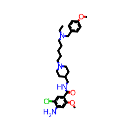 CCN(CCCCCN1CCC(CNC(=O)c2cc(Cl)c(N)cc2OC)CC1)Cc1ccc(OC)cc1